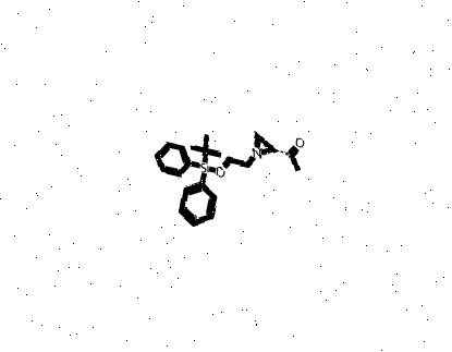 CC(=O)[C@H]1CN1CCO[Si](c1ccccc1)(c1ccccc1)C(C)(C)C